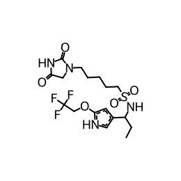 CCC(NS(=O)(=O)CCCCCN1CC(=O)NC1=O)c1c[nH]c(OCC(F)(F)F)c1